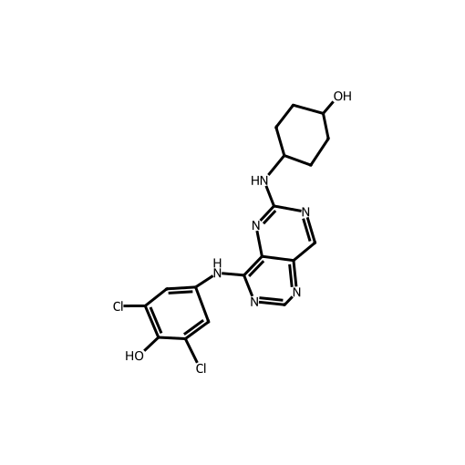 Oc1c(Cl)cc(Nc2ncnc3cnc(NC4CCC(O)CC4)nc23)cc1Cl